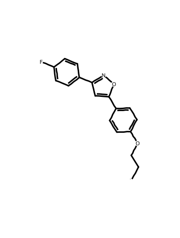 [CH2]CCOc1ccc(-c2cc(-c3ccc(F)cc3)no2)cc1